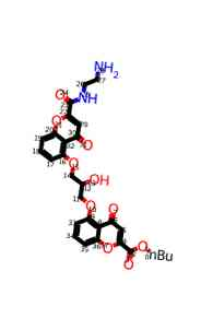 CCCCOC(=O)c1cc(=O)c2c(OCC(O)COc3cccc4oc(C(=O)NCCN)cc(=O)c34)cccc2o1